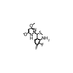 COC1=CC(OC)=NN(C(SC)c2ccc(F)c(F)c2N)N1